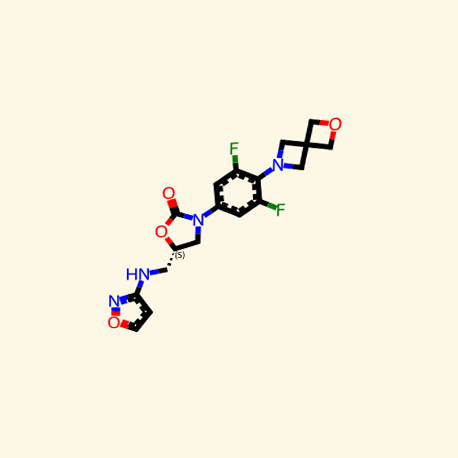 O=C1O[C@@H](CNc2ccon2)CN1c1cc(F)c(N2CC3(COC3)C2)c(F)c1